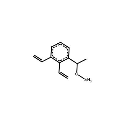 C=Cc1cccc(C(C)O[SiH3])c1C=C